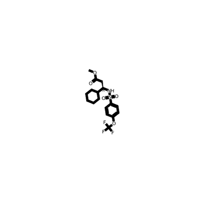 COC(=O)C[C@@H](NS(=O)(=O)c1ccc(OC(F)(F)F)cc1)C1CCCCC1